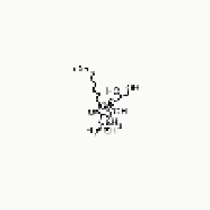 CCCCCCCCCCCCCCCCCC(=O)C(C[N+](C)(C)C)OP(=O)(O)OCC(O)CO